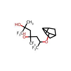 CC(O)(CC(O)(CC(OC1C2CC3C(C2)C31)C(F)(F)F)C(F)(F)F)C(F)(F)F